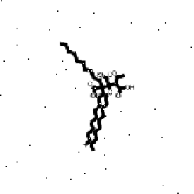 CCCCCCCCCCOC(C(=O)O)(C(C(C)=O)C(=O)O)C(CCCCCCCCCC)(CCCCCCCCCC)C(=O)O